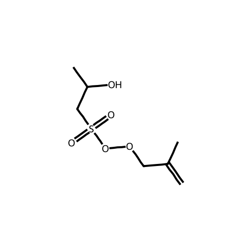 C=C(C)COOS(=O)(=O)CC(C)O